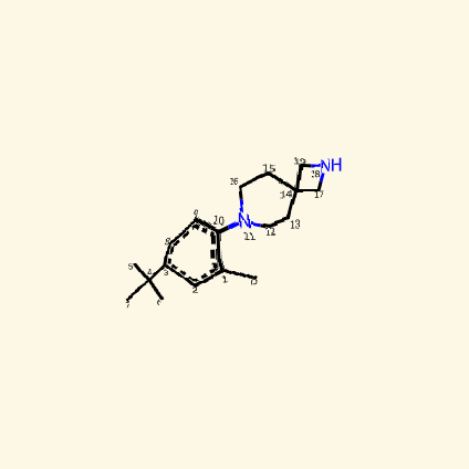 Cc1cc(C(C)(C)C)ccc1N1CCC2(CC1)CNC2